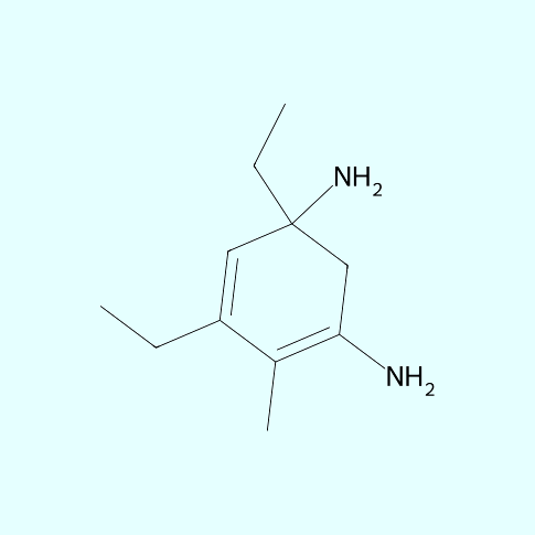 CCC1=CC(N)(CC)CC(N)=C1C